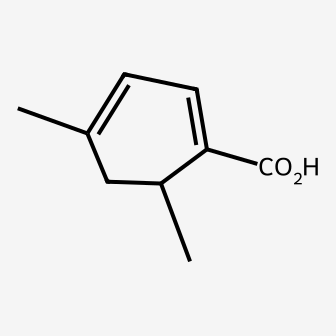 CC1=CC=C(C(=O)O)C(C)C1